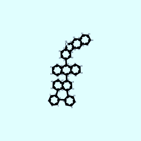 c1ccc2c(c1)-c1ccccc1-c1ccc(-c3c4ccccc4c(-c4ccc5oc6cc7ccccc7cc6c5c4)c4ccccc34)c3cccc-2c13